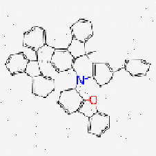 CC1(C)c2ccccc2-c2c3c(cc(N(C4=CC=C(c5ccccc5)CC4)C4CC=Cc5c4oc4ccccc54)c21)[C@@]1(C2=CCCC=C2c2ccccc21)c1ccccc1-3